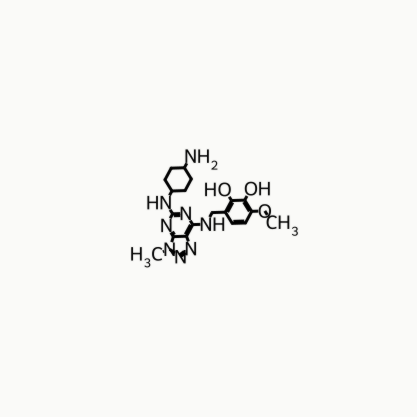 COc1ccc(CNc2nc(NC3CCC(N)CC3)nc3c2nnn3C)c(O)c1O